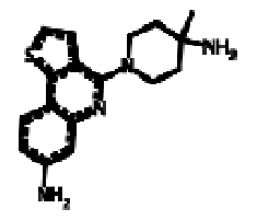 CC1(N)CCN(c2nc3cc(N)ccc3c3sccc23)CC1